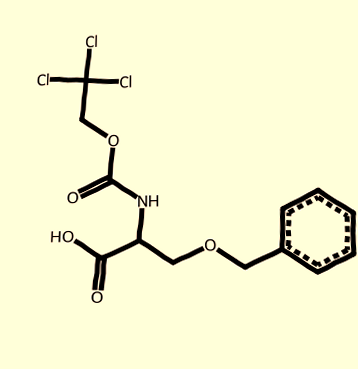 O=C(NC(COCc1ccccc1)C(=O)O)OCC(Cl)(Cl)Cl